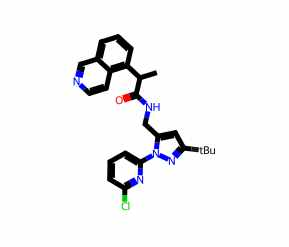 CC(C(=O)NCc1cc(C(C)(C)C)nn1-c1cccc(Cl)n1)c1cccc2cnccc12